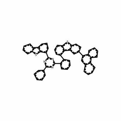 c1ccc(-c2nc(-c3ccccc3-c3cccc4sc5ccc(-c6cc7ccccc7c7ccccc67)cc5c34)nc(-c3cccc4c3sc3ccccc34)n2)cc1